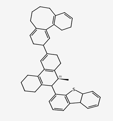 C[C@@H]1C2=C(C=C(C3C=C4C(=CC3)CCCCC3=C4CCC=C3)CC2)C2=C(CCCC2)C1c1cccc2c1SC1C=CC=CC21